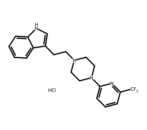 Cl.FC(F)(F)c1cccc(N2CCN(CCc3c[nH]c4ccccc34)CC2)n1